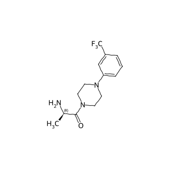 C[C@@H](N)C(=O)N1CCN(c2cccc(C(F)(F)F)c2)CC1